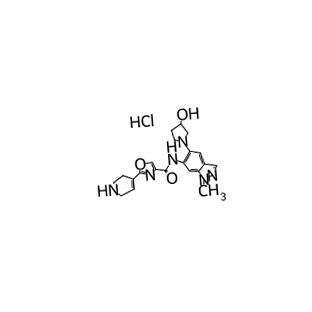 Cl.Cn1ncc2cc(N3CCC(O)C3)c(NC(=O)c3coc(C4=CCNCC4)n3)cc21